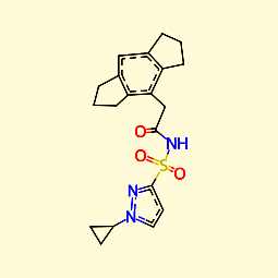 O=C(Cc1c2c(cc3c1CCC3)CCC2)NS(=O)(=O)c1ccn(C2CC2)n1